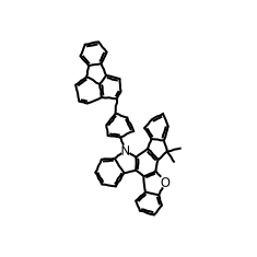 CC1(C)c2ccccc2-c2c1c1oc3ccccc3c1c1c3ccccc3n(-c3ccc(-c4ccc5c6c(cccc46)-c4ccccc4-5)cc3)c21